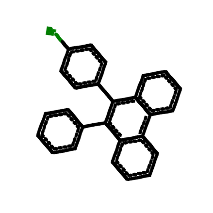 Brc1ccc(-c2c(-c3ccccc3)c3ccccc3c3ccccc23)cc1